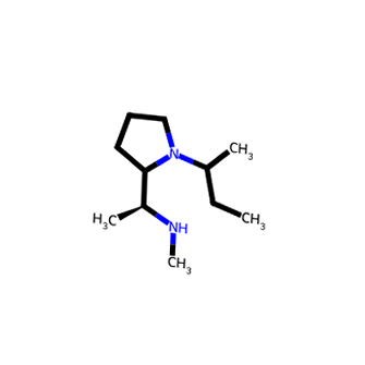 CCC(C)N1CCCC1[C@H](C)NC